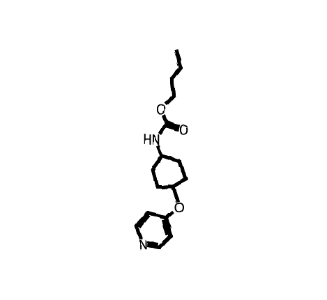 CCCCOC(=O)NC1CCC(Oc2ccncc2)CC1